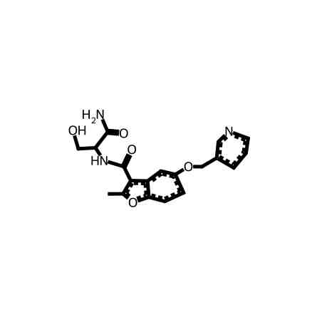 Cc1oc2ccc(OCc3cccnc3)cc2c1C(=O)NC(CO)C(N)=O